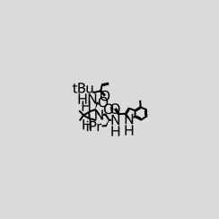 C=CC(=O)[C@@H](NC(=O)[C@@H]1[C@@H]2[C@H](CN1C(=O)[C@H](CC(C)C)NC(=O)c1cc3c(C)cccc3[nH]1)C2(C)C)C(C)(C)C